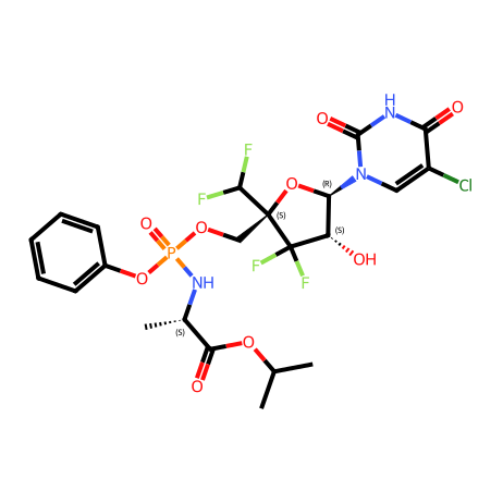 CC(C)OC(=O)[C@H](C)NP(=O)(OC[C@@]1(C(F)F)O[C@@H](n2cc(Cl)c(=O)[nH]c2=O)[C@H](O)C1(F)F)Oc1ccccc1